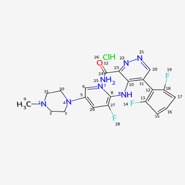 CN1CCN(c2cnc(Nc3c(-c4c(F)cccc4F)cnnc3C(N)=O)c(F)c2)CC1.Cl